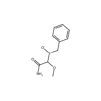 COC(C(N)=O)[S+]([O-])Cc1ccccc1